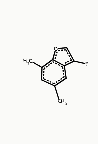 Cc1cc(C)c2occ(F)c2c1